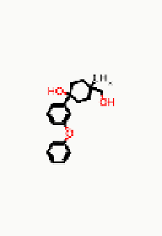 CC1(CO)CCC(O)(c2cccc(Oc3ccccc3)c2)CC1